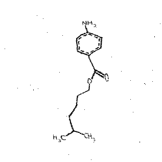 CC(C)CCCCOC(=O)c1ccc(N)cc1